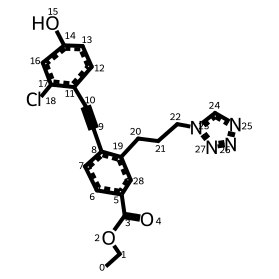 CCOC(=O)c1ccc(C#Cc2ccc(O)cc2Cl)c(CCCn2cnnn2)c1